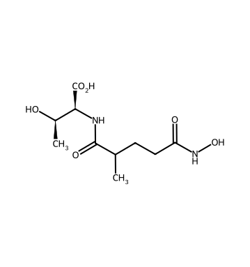 CC(CCC(=O)NO)C(=O)N[C@H](C(=O)O)[C@@H](C)O